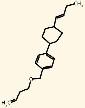 C=CCCOCc1ccc(C2CCC(C=CCC)CC2)cc1